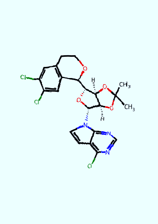 CC1(C)O[C@H]2[C@@H](O1)[C@H](n1ccc3c(Cl)ncnc31)O[C@@H]2[C@@H]1OCCc2cc(Cl)c(Cl)cc21